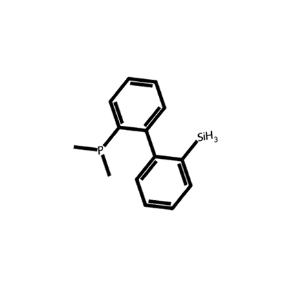 CP(C)c1ccccc1-c1ccccc1[SiH3]